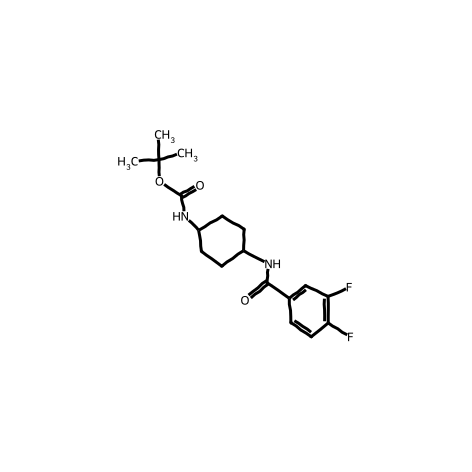 CC(C)(C)OC(=O)NC1CCC(NC(=O)c2ccc(F)c(F)c2)CC1